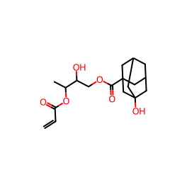 C=CC(=O)OC(C)C(O)COC(=O)C12CC3CC(CC(O)(C3)C1)C2